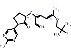 C=C/C(=C\C=C(/C)OCC(C)(C)F)O[C@@H]1CCN(c2cnc(C)nc2)C1=O